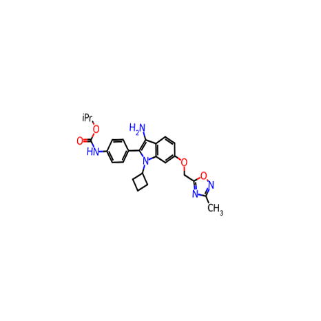 Cc1noc(COc2ccc3c(N)c(-c4ccc(NC(=O)OC(C)C)cc4)n(C4CCC4)c3c2)n1